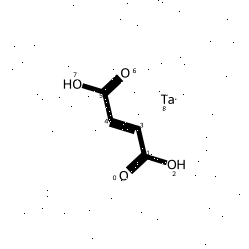 O=C(O)C=CC(=O)O.[Ta]